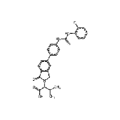 CC(C)C(C(=O)O)N1Cc2cc(-c3ccc(NC(=O)Nc4ccccc4F)cc3)ccc2C1=O